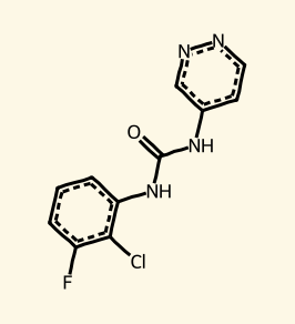 O=C(Nc1ccnnc1)Nc1cccc(F)c1Cl